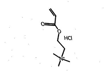 C=CC(=O)OCC[N+](C)(C)C.Cl